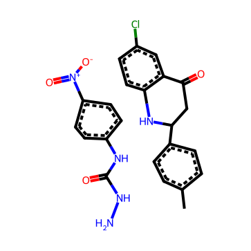 Cc1ccc(C2CC(=O)c3cc(Cl)ccc3N2)cc1.NNC(=O)Nc1ccc([N+](=O)[O-])cc1